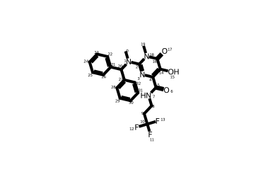 CN(c1nc(C(=O)NCCC(F)(F)F)c(O)c(=O)n1C)C(c1ccccc1)c1ccccc1